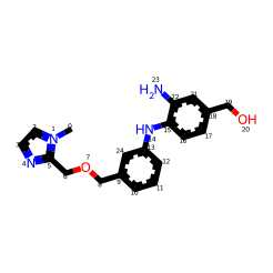 Cn1ccnc1COCc1cccc(Nc2ccc(CO)cc2N)c1